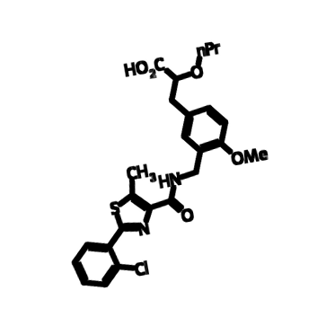 CCCOC(Cc1ccc(OC)c(CNC(=O)c2nc(-c3ccccc3Cl)sc2C)c1)C(=O)O